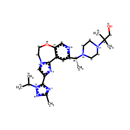 Cc1nc(-c2cn3c(n2)-c2cc([C@@H](C)N4CCN(C(C)(C)CO)CC4)ncc2OCC3)n(C(C)C)n1